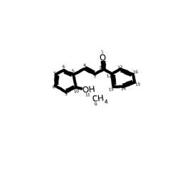 C.O=C(C=Cc1ccccc1O)c1ccccc1